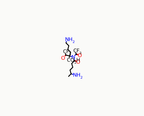 CC(N)CCCC(=O)N(C(=O)C(F)(F)F)C(CCCCN)(C(=O)O)C(=O)C(F)(F)F